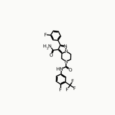 NC(=O)c1c(-c2cccc(F)c2)nn2c1CN(C(=O)Nc1ccc(F)c(C(F)(F)F)c1)CC2